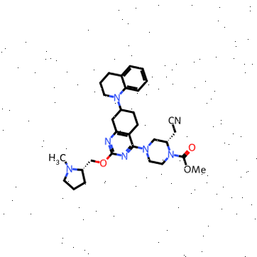 COC(=O)N1CCN(c2nc(OC[C@@H]3CCCN3C)nc3c2CCC(N2CCCc4ccccc42)C3)C[C@@H]1CC#N